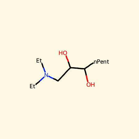 CCCCCC(O)C(O)CN(CC)CC